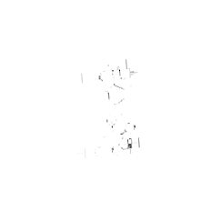 CC(C)C[C@@H](OCc1ccc(C(C)(C)C)cc1)C(=O)O